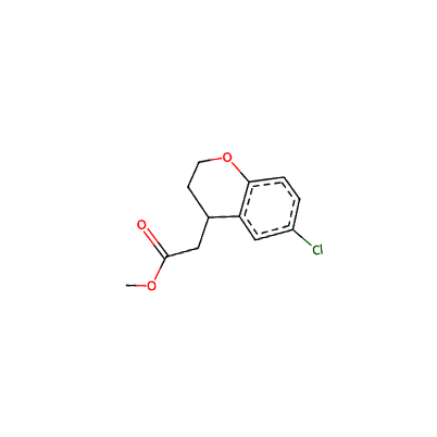 COC(=O)CC1CCOc2ccc(Cl)cc21